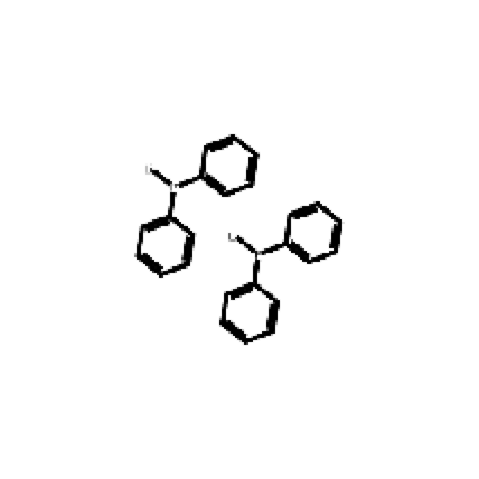 [Li][P](c1ccccc1)c1ccccc1.[Li][P](c1ccccc1)c1ccccc1